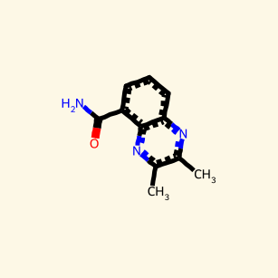 Cc1nc2cccc(C(N)=O)c2nc1C